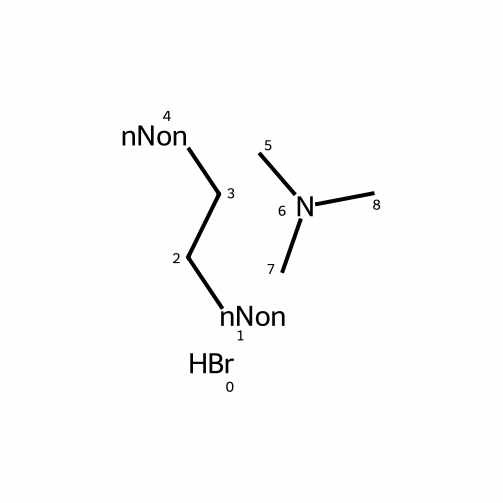 Br.CCCCCCCCCCCCCCCCCCCC.CN(C)C